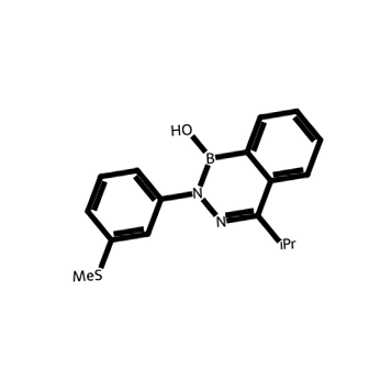 CSc1cccc(N2N=C(C(C)C)c3ccccc3B2O)c1